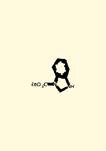 CCOC(=O)N1CNc2ccccc21